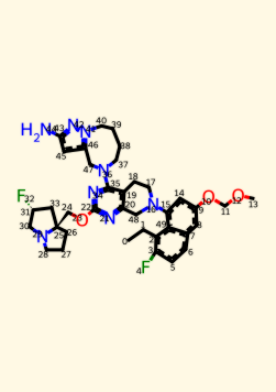 CCc1c(F)ccc2cc(OCOC)cc(N3CCc4c(nc(OC[C@@]56CCCN5C[C@H](F)C6)nc4N4CCCCn5nc(N)cc5C4)C3)c12